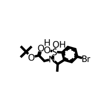 CC1c2cc(Br)ccc2S(O)(O)N1CC(=O)OC(C)(C)C